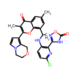 Cc1cc([C@@H](C)Nc2ccc(Cl)nc2-c2noc(=O)[nH]2)c2oc(-c3ccn4c3COCC4)c(C)c(=O)c2c1